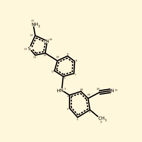 Cc1ccc(Nc2cccc(-c3csc(N)n3)c2)cc1C#N